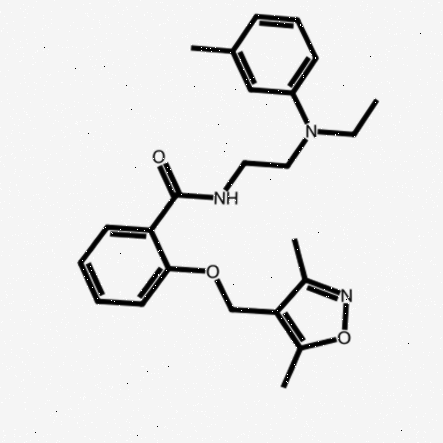 CCN(CCNC(=O)c1ccccc1OCc1c(C)noc1C)c1cccc(C)c1